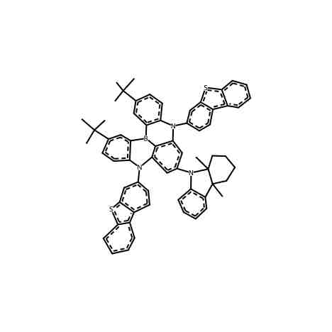 CC(C)(C)c1ccc2c(c1)B1c3cc(C(C)(C)C)ccc3N(c3ccc4c(c3)sc3ccccc34)c3cc(N4c5ccccc5C5(C)CCCCC45C)cc(c31)N2c1ccc2c(c1)sc1ccccc12